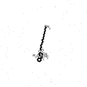 CCCCCCCCCCCCCCCCCC(=O)OC1CC(C)(C)N(OC2CCCCC2)C(C)(C)C1